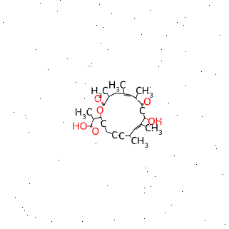 C/C1=C\C(C)C(=O)CC(O)/C(C)=C/C(C)CCCCC(C(C)C(=O)O)OC(=O)C(C)C1